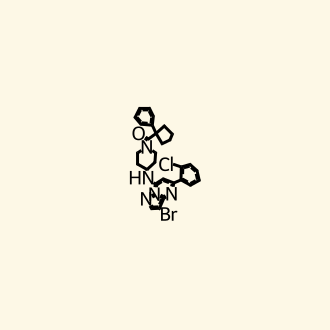 O=C(N1CCC(Nc2cc(-c3ccccc3Cl)nc3c(Br)cnn23)CC1)C1(c2ccccc2)CCCC1